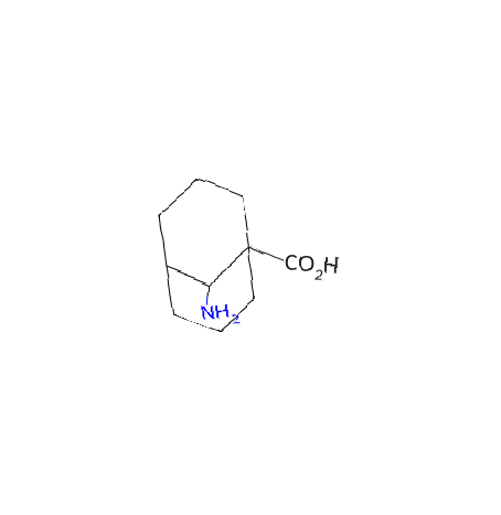 NC1C2CCCC1(C(=O)O)CCC2